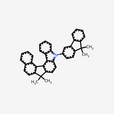 CC1(C)c2ccccc2-c2cc(-n3c4ccccc4c4c5c(ccc43)C(C)(C)c3ccc4ccccc4c3-5)ccc21